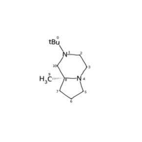 CC(C)(C)N1CCN2CCC[C@@]2(C)C1